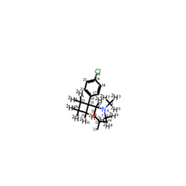 [2H]C([2H])([2H])N(C([2H])([2H])[2H])C([2H])(CC(C)C)C1(c2ccc(Cl)cc2)C([2H])([2H])C([2H])([2H])C1([2H])[2H]